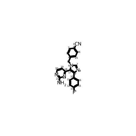 N#Cc1ccc(Cn2cnc(-c3ccc(F)cc3)c2-c2ccnc(N)n2)cc1